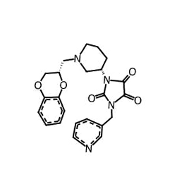 O=C1C(=O)N([C@H]2CCCN(C[C@H]3COc4ccccc4O3)C2)C(=O)N1Cc1cccnc1